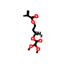 C=C(C)C(=O)OCC[SiH2]OC(=O)C(OC)OC